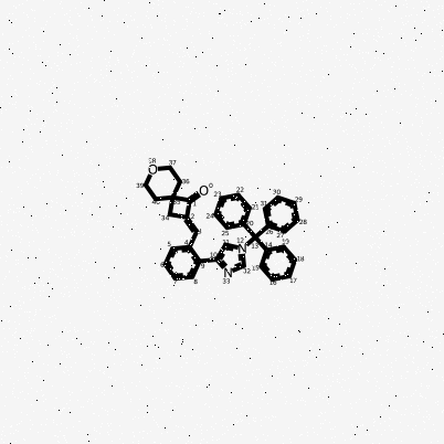 O=C1/C(=C/c2ccccc2-c2cn(C(c3ccccc3)(c3ccccc3)c3ccccc3)cn2)CC12CCOCC2